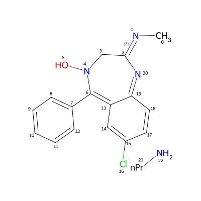 C/N=C1/CN(O)C(c2ccccc2)=c2cc(Cl)ccc2=N1.CCCN